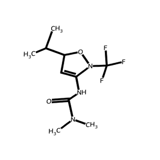 CC(C)C1C=C(NC(=O)N(C)C)N(C(F)(F)F)O1